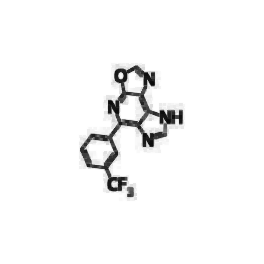 FC(F)(F)c1cccc(-c2nc3ocnc3c3[nH]cnc23)c1